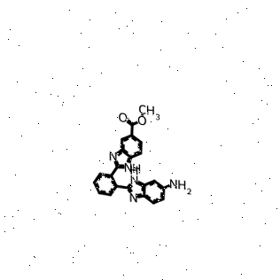 COC(=O)c1ccc2[nH]c(-c3ccccc3-c3nc4ccc(N)cc4[nH]3)nc2c1